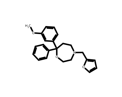 COc1cccc(C2(c3ccccc3)CCN(Cc3ccco3)CCO2)c1